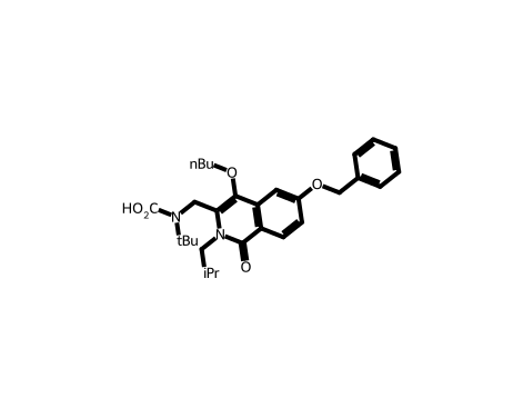 CCCCOc1c(CN(C(=O)O)C(C)(C)C)n(CC(C)C)c(=O)c2ccc(OCc3ccccc3)cc12